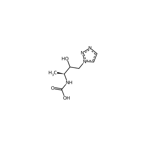 C[C@H](NC(=O)O)C(O)Cn1ccnn1